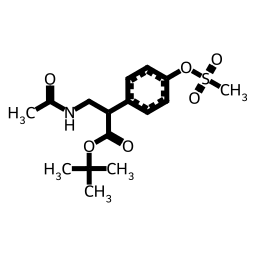 CC(=O)NCC(C(=O)OC(C)(C)C)c1ccc(OS(C)(=O)=O)cc1